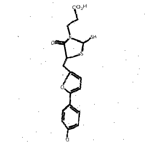 O=C(O)CCN1C(=O)C(Cc2ccc(-c3ccc(Cl)cc3)o2)SC1S